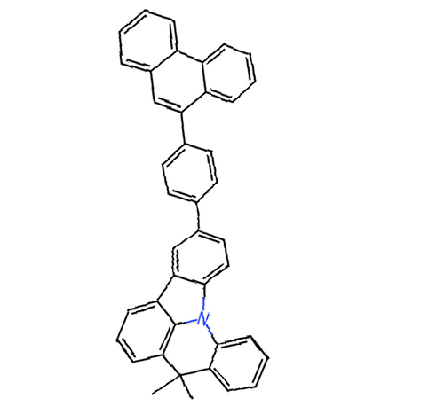 CC1(C)c2ccccc2-n2c3ccc(-c4ccc(-c5cc6ccccc6c6ccccc56)cc4)cc3c3cccc1c32